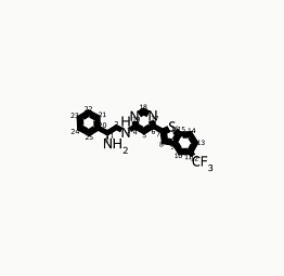 N[C@@H](CNc1cc(-c2cc3cc(C(F)(F)F)ccc3s2)ncn1)c1ccccc1